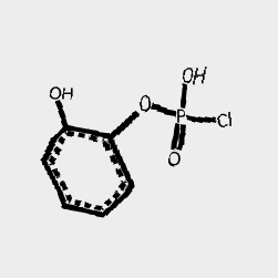 O=P(O)(Cl)Oc1ccccc1O